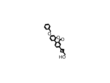 O=c1oc2cc(OCc3ccccc3)ccc2c2ccc(C34CC(CO)(C3)C4)cc12